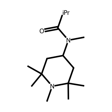 CC(C)C(=O)N(C)C1CC(C)(C)N(C)C(C)(C)C1